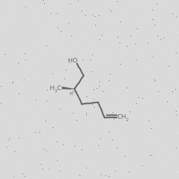 C=CCC[C@@H](C)CO